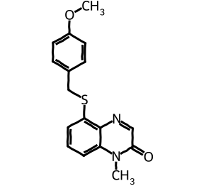 COc1ccc(CSc2cccc3c2ncc(=O)n3C)cc1